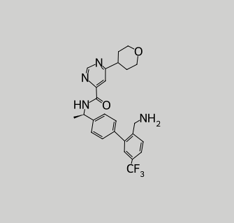 C[C@@H](NC(=O)c1cc(C2CCOCC2)ncn1)c1ccc(-c2cc(C(F)(F)F)ccc2CN)cc1